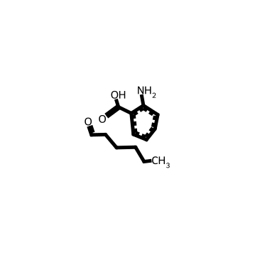 CCCCCC=O.Nc1ccccc1C(=O)O